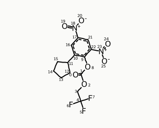 O=C(OCC(F)(F)F)Oc1c(C2CCCC2)cc([N+](=O)[O-])cc1[N+](=O)[O-]